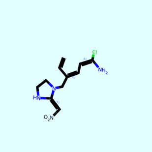 C=C/C(=C\C=C(/N)Cl)CN1CCN/C1=C\[N+](=O)[O-]